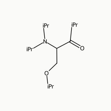 CC(C)OCC(C(=O)C(C)C)N(C(C)C)C(C)C